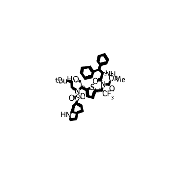 COC(=O)N(C(=O)[C@@H](N)C(c1ccccc1)c1ccccc1)[C@H](c1ccc([C@@H](CO)N(CCC(C)(C)C)S(=O)(=O)c2ccc3cc[nH]c3c2)s1)C(F)(F)F